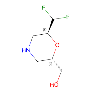 OC[C@@H]1CNC[C@@H](C(F)F)O1